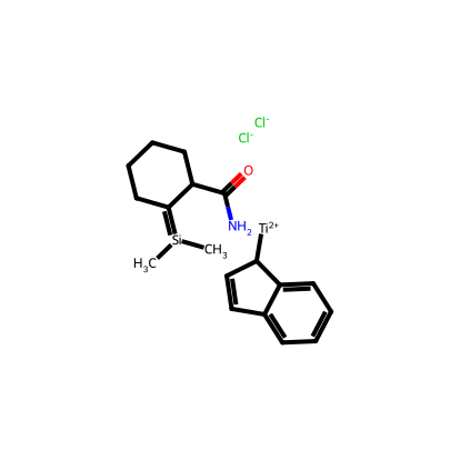 C[Si](C)=C1CCCCC1C(N)=O.[Cl-].[Cl-].[Ti+2][CH]1C=Cc2ccccc21